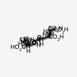 CC(C)(C)C(=O)[C@H](CC(=O)O)NC(=O)[C@H](CC(=O)O)NC(=O)Cc1ccc(CNC(=O)NCCCC[C@H](NC(=O)N[C@@H](CCC(=O)O)C(=O)O)C(=O)O)cc1